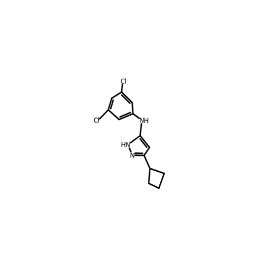 Clc1cc(Cl)cc(Nc2cc(C3CCC3)n[nH]2)c1